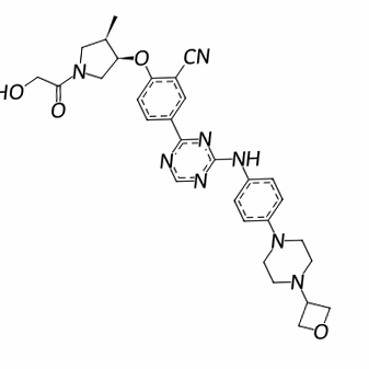 C[C@@H]1CN(C(=O)CO)C[C@@H]1Oc1ccc(-c2ncnc(Nc3ccc(N4CCN(C5COC5)CC4)cc3)n2)cc1C#N